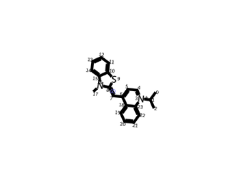 CC(C)[n+]1ccc(/C=C2\Sc3ccccc3N2C)c2ccccc21